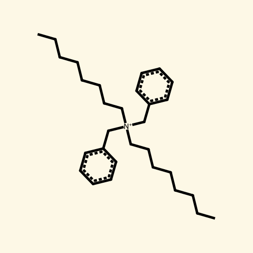 CCCCCCCC[N+](CCCCCCCC)(Cc1ccccc1)Cc1ccccc1